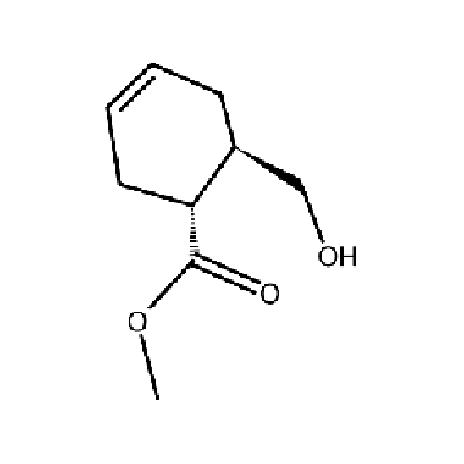 COC(=O)[C@@H]1CC=CC[C@H]1CO